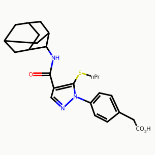 CCCSc1c(C(=O)NC2C3CC4CC(C3)CC2C4)cnn1-c1ccc(CC(=O)O)cc1